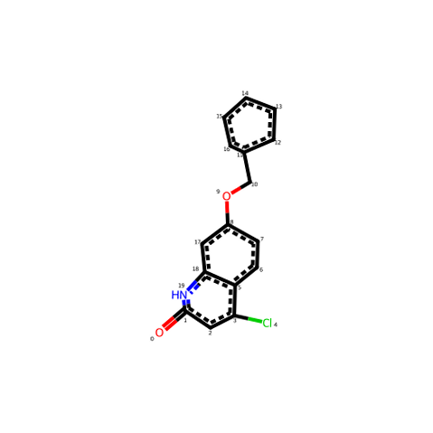 O=c1cc(Cl)c2ccc(OCc3ccccc3)cc2[nH]1